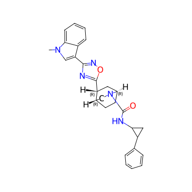 Cn1cc(-c2noc([C@@H]3C[C@H]4CC[C@H]3CN4C(=O)NC3CC3c3ccccc3)n2)c2ccccc21